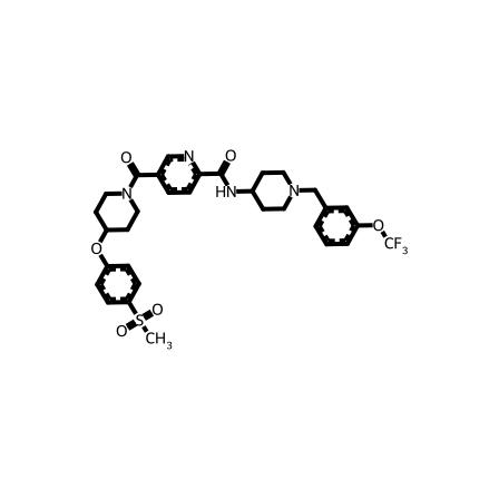 CS(=O)(=O)c1ccc(OC2CCN(C(=O)c3ccc(C(=O)NC4CCN(Cc5cccc(OC(F)(F)F)c5)CC4)nc3)CC2)cc1